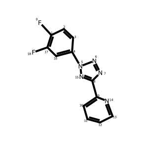 Fc1ccc(-n2nnc(-c3ccccn3)n2)cc1F